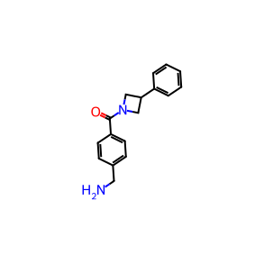 NCc1ccc(C(=O)N2CC(c3ccccc3)C2)cc1